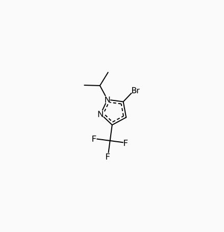 CC(C)n1nc(C(F)(F)F)cc1Br